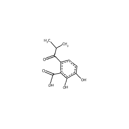 CC(C)C(=O)c1ccc(O)c(O)c1C(=O)O